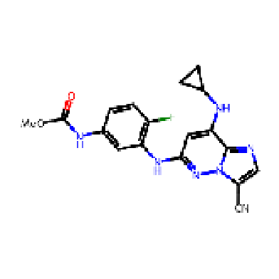 COC(=O)Nc1ccc(F)c(Nc2cc(NC3CC3)c3ncc(C#N)n3n2)c1